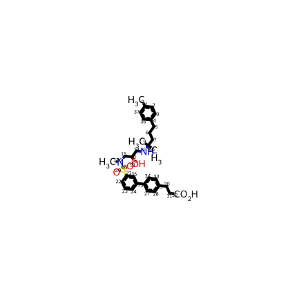 Cc1ccc(CCCC(C)(C)NCC(O)CN(C)S(=O)(=O)c2cccc(-c3ccc(CCC(=O)O)cc3)c2)cc1